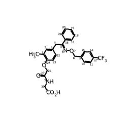 Cc1cc(CC(=NOCc2ccc(C(F)(F)F)cc2)c2ccccc2)ccc1OCC(=O)NCC(=O)O